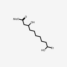 CCC(O)CCCCCCC(O)CC(=O)OC